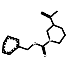 C=C(C)C1CCCN(C(=O)OCc2ccccc2)C1